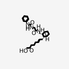 O=C(CO)CCCC=CC[C@@H]1[C@H](CNC(=O)CNC(=O)Nc2ccccc2)[C@@H]2CC[C@H]1O2